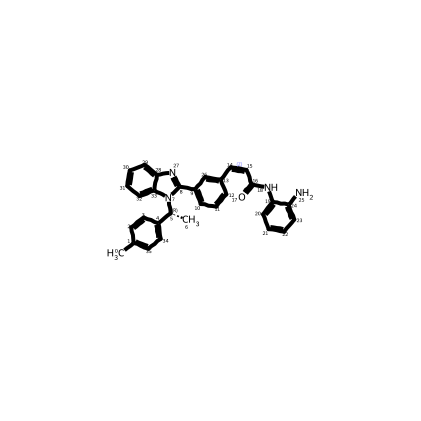 Cc1ccc([C@@H](C)n2c(-c3cccc(/C=C\C(=O)Nc4ccccc4N)c3)nc3ccccc32)cc1